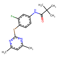 Cc1cc(C)nc(Sc2ccc(NC(=O)C(C)(C)C)cc2F)n1